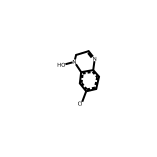 ON1CC=Nc2ccc(Cl)cc21